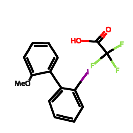 COc1ccccc1-c1ccccc1I.O=C(O)C(F)(F)F